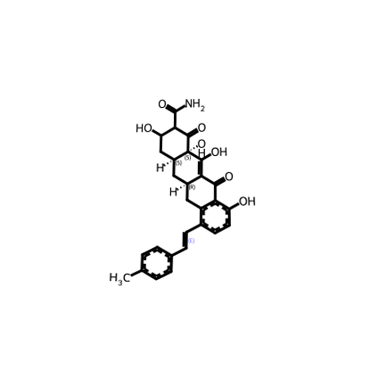 Cc1ccc(/C=C/c2ccc(O)c3c2C[C@H]2C[C@H]4CC(O)C(C(N)=O)C(=O)[C@@]4(O)C(O)=C2C3=O)cc1